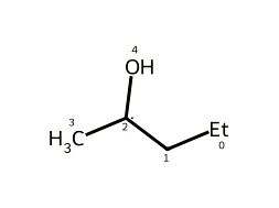 CCC[C](C)O